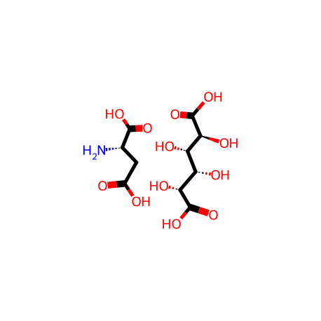 N[C@@H](CC(=O)O)C(=O)O.O=C(O)[C@@H](O)[C@@H](O)[C@H](O)[C@@H](O)C(=O)O